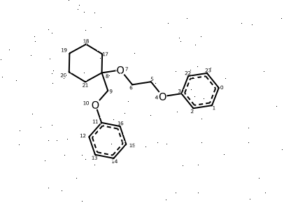 c1ccc(OCCOC2(COc3ccccc3)CCCCC2)cc1